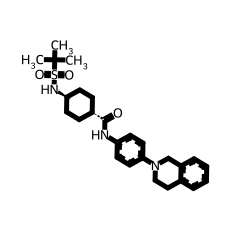 CC(C)(C)S(=O)(=O)N[C@H]1CC[C@H](C(=O)Nc2ccc(N3CCc4ccccc4C3)cc2)CC1